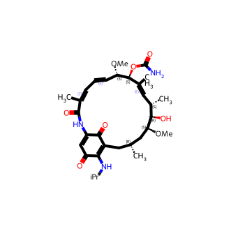 CO[C@H]1/C=C/C=C(/C)C(=O)NC2=CC(=O)C(NC(C)C)=C(C[C@@H](C)C[C@H](OC)[C@H](O)[C@@H](C)/C=C(\C)[C@@H]1OC(N)=O)C2=O